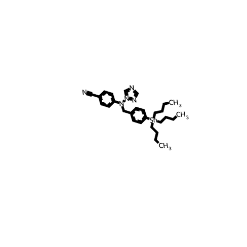 CCC[CH2][Sn]([CH2]CCC)([CH2]CCC)[c]1ccc(CN(c2ccc(C#N)cc2)n2cncn2)cc1